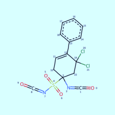 O=C=NC1(S(=O)(=O)N=C=O)CC=C(c2ccccc2)C(Cl)(Cl)C1